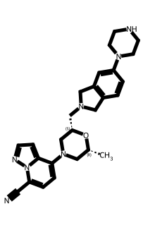 C[C@@H]1CN(c2ccc(C#N)n3nccc23)C[C@H](CN2Cc3ccc(N4CCNCC4)cc3C2)O1